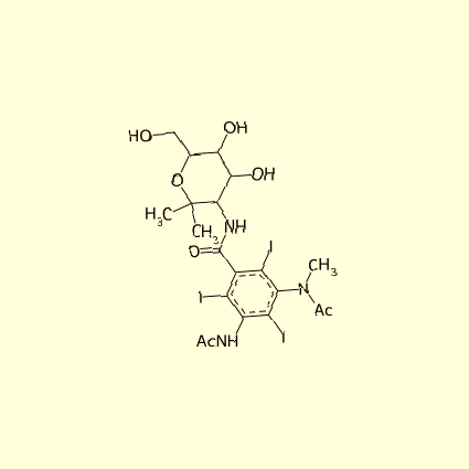 CC(=O)Nc1c(I)c(C(=O)NC2C(O)C(O)C(CO)OC2(C)C)c(I)c(N(C)C(C)=O)c1I